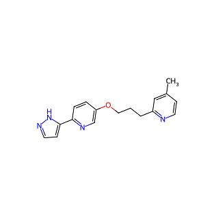 Cc1ccnc(CCCOc2ccc(-c3ccn[nH]3)nc2)c1